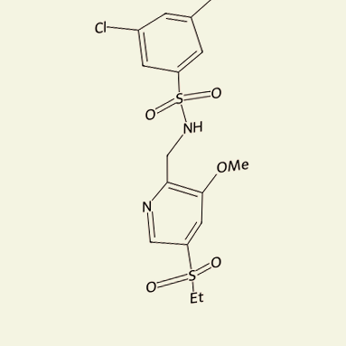 CCS(=O)(=O)c1cnc(CNS(=O)(=O)c2cc(Cl)cc(Cl)c2)c(OC)c1